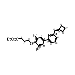 CCOC(=O)CCCOc1c(F)cc(-c2cccc(C=C3CCC3)n2)cc1F